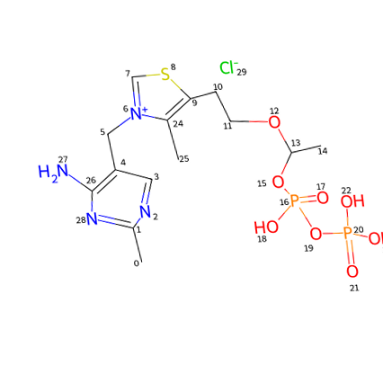 Cc1ncc(C[n+]2csc(CCOC(C)OP(=O)(O)OP(=O)(O)O)c2C)c(N)n1.[Cl-]